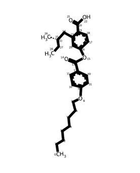 CCCCCCCCOc1ccc(C(=O)Oc2ccc(C(=O)O)c(C[C@@H](C)CC)c2)cc1